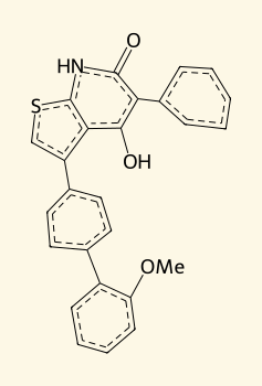 COc1ccccc1-c1ccc(-c2csc3[nH]c(=O)c(-c4ccccc4)c(O)c23)cc1